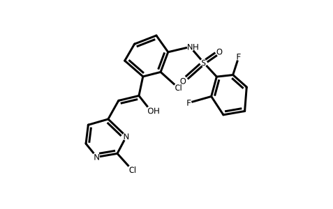 O=S(=O)(Nc1cccc(C(O)=Cc2ccnc(Cl)n2)c1Cl)c1c(F)cccc1F